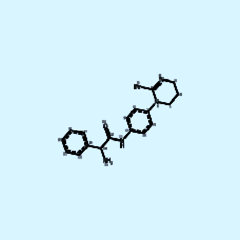 CC(C)C1=NCCCN1c1ccc(NC(=O)C(N)c2ccccc2)cc1